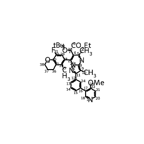 CCOC(=O)[C@@H](OC(C)(C)C)c1c(C)nc2c(C)c(-c3cccc(-c4cnccc4OC)c3)nn2c1-c1cc(F)c2c(c1C)CCCO2